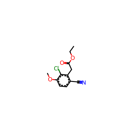 CCOC(=O)Cc1c(C#N)ccc(OC)c1Cl